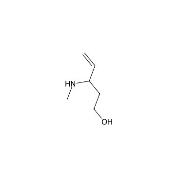 C=CC(CCO)NC